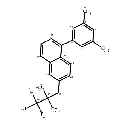 Cc1cc(C)cc(-c2nccc3cc(CC(C)(C)C(F)(F)F)ccc23)c1